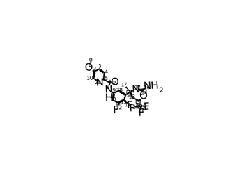 COc1ccc(C(=O)Nc2cc(F)c(F)c([C@@]3(C)C[C@@H](C(F)(F)F)OC(N)=N3)c2)nc1